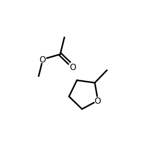 CC1CCCO1.COC(C)=O